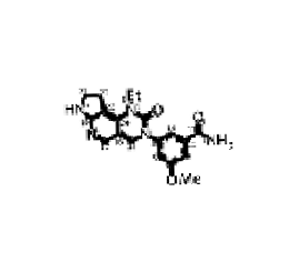 CCN1C(=O)N(c2cc(OC)cc(C(N)=O)c2)C=C2C=NC3NCCC3=C21